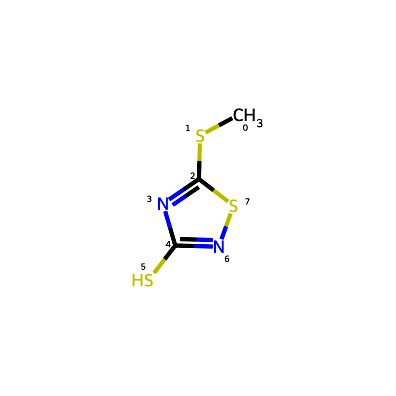 CSc1nc(S)ns1